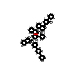 c1ccc(-c2ccc(-c3ccc(N(c4cccc(-c5ccccc5N(c5ccc6ccccc6c5)c5ccc(-c6ccc7c(c6)sc6ccccc67)c6ccccc56)c4)c4ccc5ccccc5c4)cc3)cc2)cc1